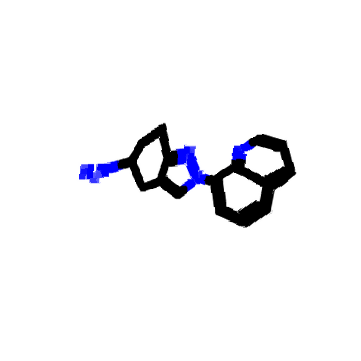 NC1CCc2nn(-c3cccc4cccnc34)cc2C1